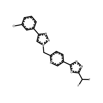 FC(F)c1nnc(-c2ccc(Cn3cc(-c4cccc(Cl)c4)nn3)nc2)o1